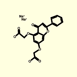 O=C([O-])COc1cc(OCC(=O)[O-])c2c(=O)cc(-c3ccccc3)oc2c1.[Na+].[Na+]